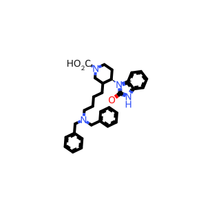 O=C(O)N1CC[C@H](n2c(=O)[nH]c3ccccc32)C(CCCCN(Cc2ccccc2)Cc2ccccc2)C1